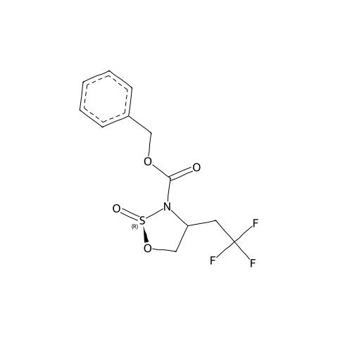 O=C(OCc1ccccc1)N1C(CC(F)(F)F)CO[S@]1=O